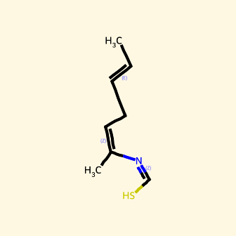 C/C=C/C/C=C(C)\N=C/S